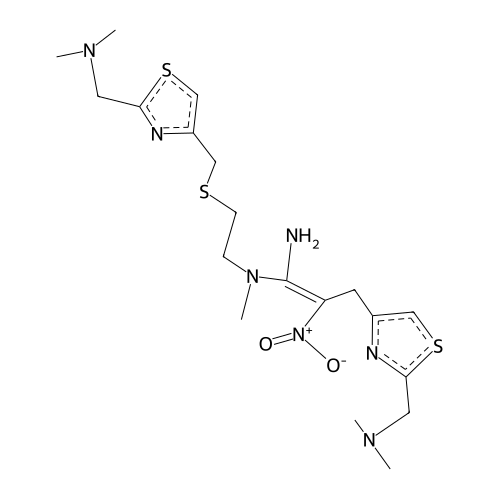 CN(C)Cc1nc(CSCCN(C)C(N)=C(Cc2csc(CN(C)C)n2)[N+](=O)[O-])cs1